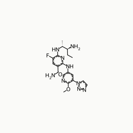 CC[C@H](N)[C@@H](C)Nc1nc(Nc2cnc(OC)c(-n3ccnn3)c2)c(C(N)=O)cc1F